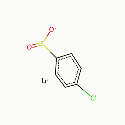 O=S([O-])c1ccc(Cl)cc1.[Li+]